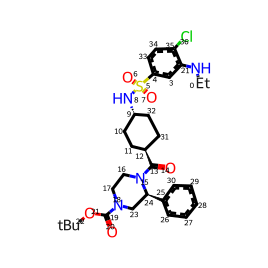 CCNc1cc(S(=O)(=O)N[C@H]2CC[C@H](C(=O)N3CCN(C(=O)OC(C)(C)C)C[C@@H]3c3ccccc3)CC2)ccc1Cl